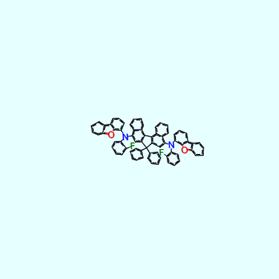 Fc1ccccc1N(c1cc2c(c3ccccc13)-c1c(cc(N(c3ccccc3F)c3cccc4c3oc3ccccc34)c3ccccc13)C2(c1ccccc1)c1ccccc1)c1cccc2c1oc1ccccc12